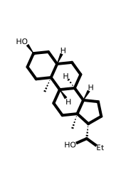 CCC(O)[C@H]1CC[C@H]2[C@@H]3CC[C@H]4C[C@H](O)CC[C@]4(C)[C@H]3CC[C@]12C